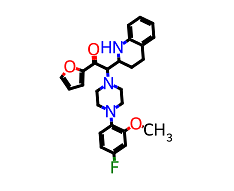 COc1cc(F)ccc1N1CCN(C(C(=O)c2ccco2)C2CCc3ccccc3N2)CC1